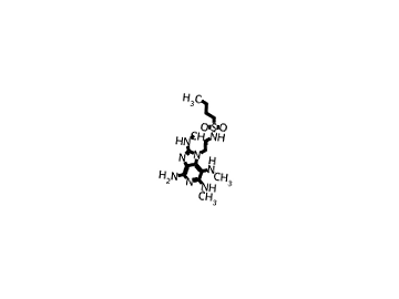 CCCCS(=O)(=O)NCCn1c(NC)nc2c(N)nc(NC)c(NC)c21